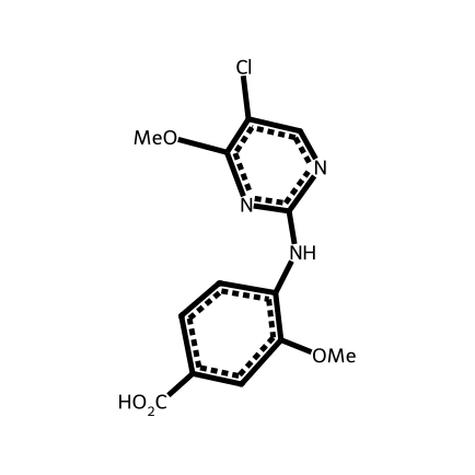 COc1cc(C(=O)O)ccc1Nc1ncc(Cl)c(OC)n1